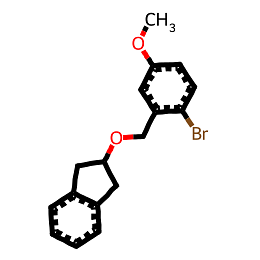 COc1ccc(Br)c(COC2Cc3ccccc3C2)c1